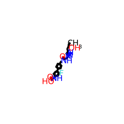 CCC(O)Cc1cn(CC(=O)NCc2ccc(-c3ccc(NC(=O)O)cc3F)cc2)nn1